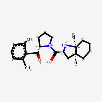 Cc1cccc(C)c1C(=O)[C@@H]1CCCN1C(=O)[C@@H]1C[C@@H]2CCCC[C@@H]2N1